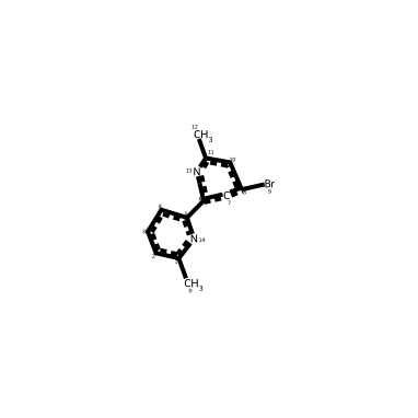 Cc1cccc(-c2cc(Br)cc(C)n2)n1